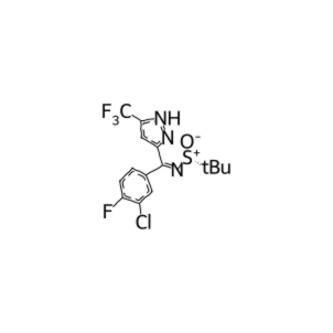 CC(C)(C)[S@@+]([O-])/N=C(/c1ccc(F)c(Cl)c1)c1cc(C(F)(F)F)[nH]n1